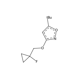 CC(C)(C)c1cc(OCC2(F)CC2)no1